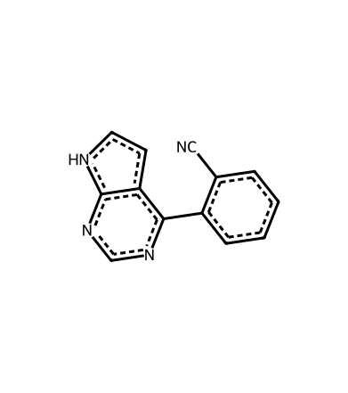 N#Cc1ccccc1-c1ncnc2[nH]ccc12